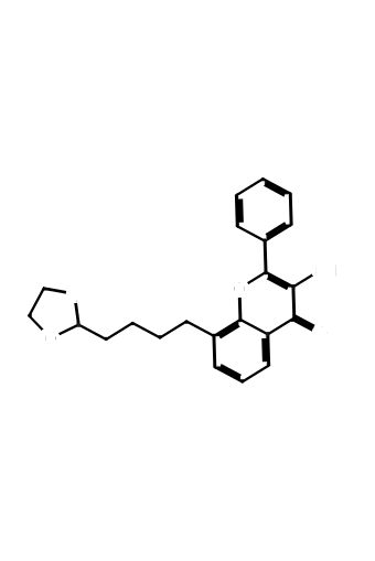 Cc1c(-c2ccccc2)oc2c(CCCCC3OCCO3)cccc2c1=O